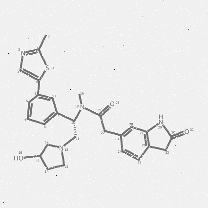 Cc1ncc(-c2cccc([C@@H](CN3CCC(O)C3)N(C)C(=O)Cc3ccc4c(c3)NC(=O)C4)c2)s1